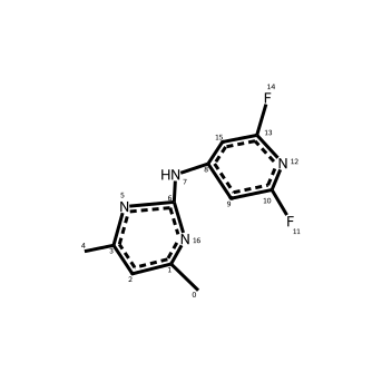 Cc1cc(C)nc(Nc2cc(F)nc(F)c2)n1